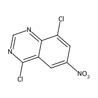 O=[N+]([O-])c1cc(Cl)c2ncnc(Cl)c2c1